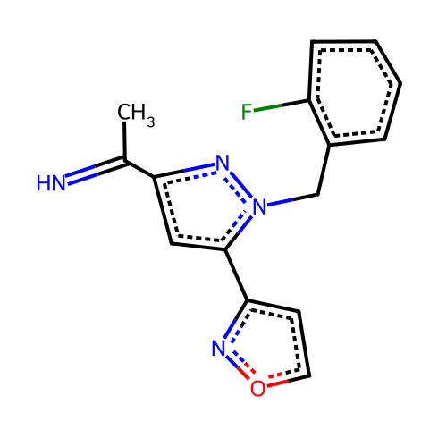 CC(=N)c1cc(-c2ccon2)n(Cc2ccccc2F)n1